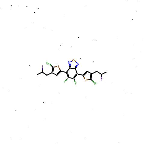 CC(I)Cc1cc(-c2c(F)c(F)c(-c3cc(CC(C)I)c(Br)s3)c3nsnc23)sc1Br